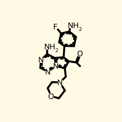 CC(=O)c1c(-c2ccc(N)c(F)c2)c2c(N)ncnn2c1CN1CCOCC1